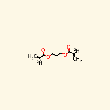 [2H]C(=C)C(=O)OCCCOC(=O)C([2H])=C